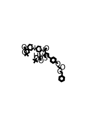 CC(C)(C)OC(=O)Nc1sc(-c2ccc(OCC(=O)OCc3ccccc3)cc2)cc1C(=O)N1CCC(N2CCCC3(C2)CC(C)(C)OC3=O)CC1